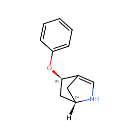 C1=C2C[C@@H](C[C@H]2Oc2ccccc2)N1